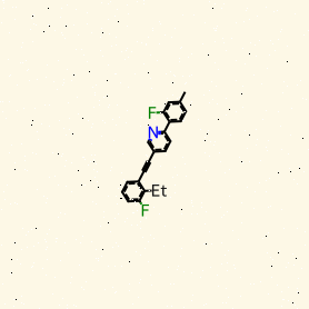 CCc1c(F)cccc1C#Cc1ccc(-c2ccc(C)cc2F)nc1